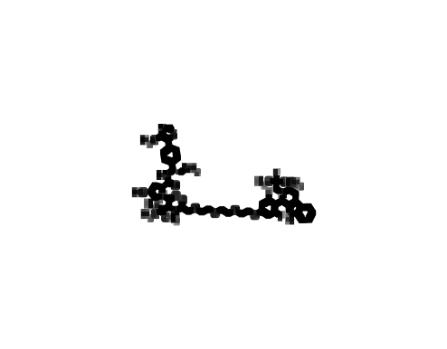 Cc1ncsc1-c1ccc([C@H](CN)NC(=O)[C@@H]2C[C@@H](O)CN2C(=O)[C@@H](NC(=O)COCCOCCOCCOc2cc(F)c(C3c4[nH]c5ccccc5c4C[C@@H](C)N3CC(C)(C)F)c(F)c2)C(C)(C)C)cc1